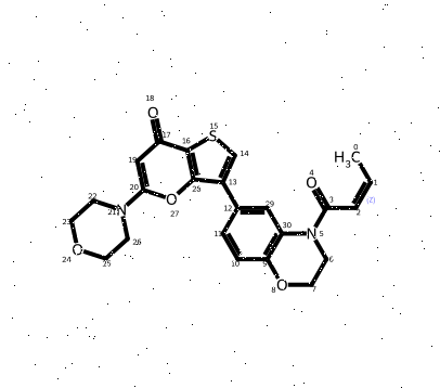 C/C=C\C(=O)N1CCOc2ccc(-c3csc4c(=O)cc(N5CCOCC5)oc34)cc21